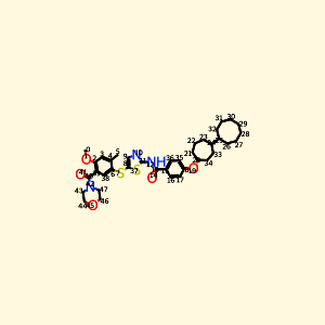 COc1cc(C)c(Sc2cnc(NC(=O)c3ccc(OC4CCCC(C5CCCCCCC5)CC4)cc3)s2)cc1C(=O)N1CCOCC1